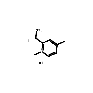 Cc1cc[n+](C)c(CN)c1.Cl.[I-]